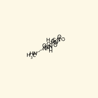 CNCCCCCCNC(=O)Nc1cccc2c(C(=O)C(=O)N3CCN(C(=O)c4ccccc4)C[C@H]3C)c[nH]c12